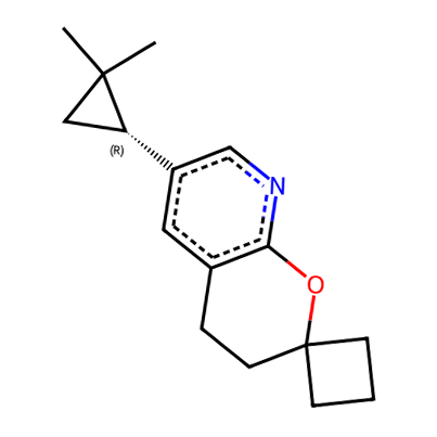 CC1(C)C[C@H]1c1cnc2c(c1)CCC1(CCC1)O2